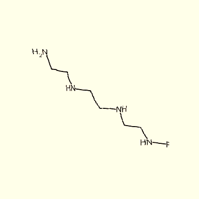 NCCNCCNCCNF